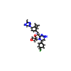 Cc1ncn(-c2ccc(/C=C3\OC4(COC4)CN4C3=NNCC4c3ccc(F)cc3)c3c2CC3)n1